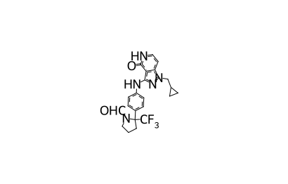 O=CN1CCCC1(c1ccc(Nc2nn(CC3CC3)c3cc[nH]c(=O)c23)cc1)C(F)(F)F